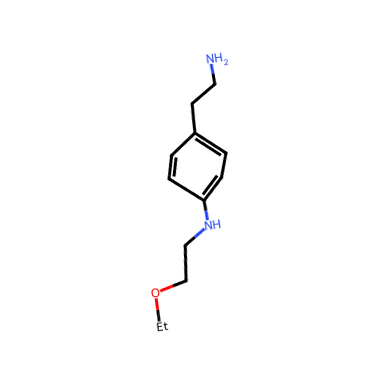 CCOCCNc1ccc(CCN)cc1